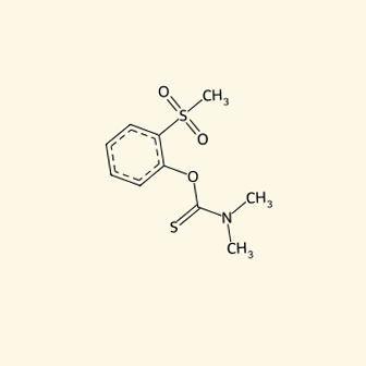 CN(C)C(=S)Oc1ccccc1S(C)(=O)=O